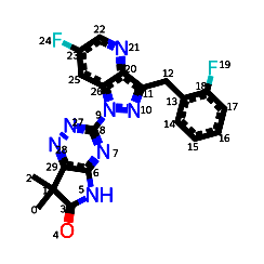 CC1(C)C(=O)Nc2nc(-n3nc(Cc4ccccc4F)c4ncc(F)cc43)nnc21